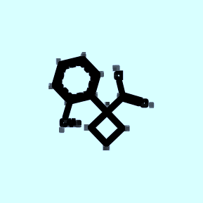 COc1ccccc1C1(C(=O)Cl)CCC1